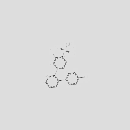 NS(=O)(=O)c1ccc(-c2ncccc2-c2ccc(Cl)cc2)cc1F